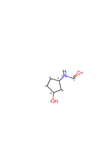 O=[C]NC1CCC(O)C1